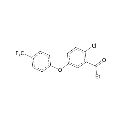 CCC(=O)c1cc(Oc2ccc(C(F)(F)F)cc2)ccc1Cl